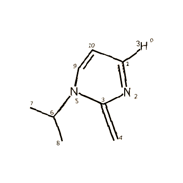 [3H]C1=NC(=C)N(C(C)C)C=C1